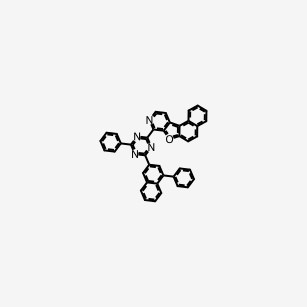 c1ccc(-c2nc(-c3cc(-c4ccccc4)c4ccccc4c3)nc(-c3nccc4c3oc3ccc5ccccc5c34)n2)cc1